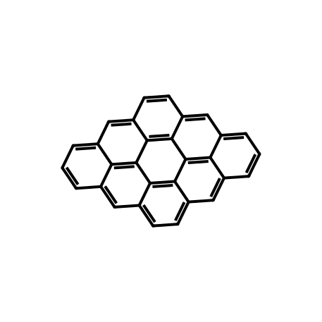 c1cc2cc3ccc4cc5cccc6cc7ccc8cc(c1)c2c1c3c4c(c56)c7c81